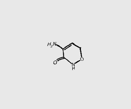 NC1=CCONC1=O